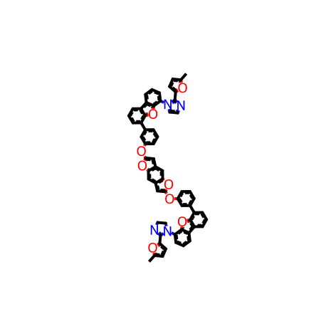 Cc1ccc(C2=NCCN2c2cccc3c2oc2c(-c4cccc(Oc5cc6cc7oc(Oc8cccc(-c9cccc%10c9oc9c(-n%11ccnc%11-c%11ccc(C)o%11)cccc9%10)c8)cc7cc6o5)c4)cccc23)o1